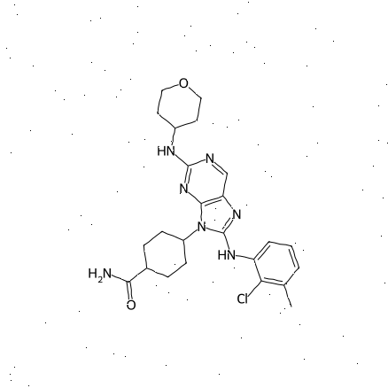 Cc1cccc(Nc2nc3cnc(NC4CCOCC4)nc3n2C2CCC(C(N)=O)CC2)c1Cl